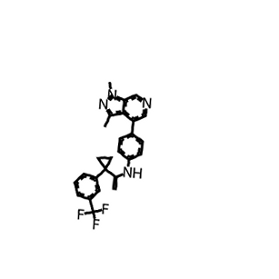 C=C(Nc1ccc(-c2cncc3c2c(C)nn3C)cc1)C1(c2cccc(C(F)(F)F)c2)CC1